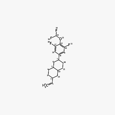 C=CC1CCC2CC(c3cc(F)c(OC(F)F)c(F)c3)CCC2C1